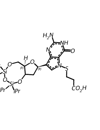 CC(C)[Si]1(C(C)C)OC[C@H]2O[C@@H](c3cn(SCCC(=O)O)c4c(=O)[nH]c(N)nc34)CC2O[Si](C(C)C)(C(C)C)O1